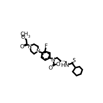 COCC(=O)N1CCN(c2ccc(N3C[C@H](CNC(=S)C4CCCCC4)OC3=O)cc2F)CC1